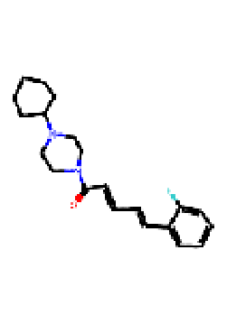 O=C(/C=C/C=C/c1ccccc1F)N1CCN(C2CCCCC2)CC1